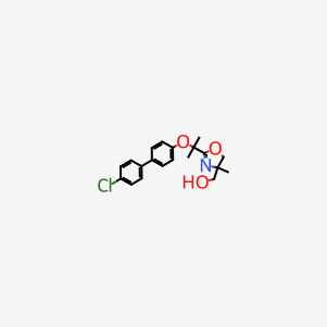 CC1(CO)COC(C(C)(C)Oc2ccc(-c3ccc(Cl)cc3)cc2)=N1